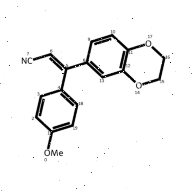 COc1ccc(C(=CC#N)c2ccc3c(c2)OCCO3)cc1